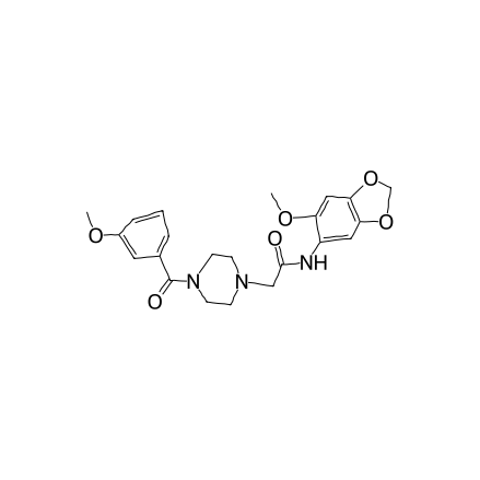 COc1cccc(C(=O)N2CCN(CC(=O)Nc3cc4c(cc3OC)OCO4)CC2)c1